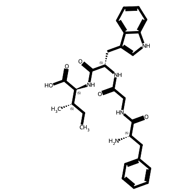 CC[C@H](C)[C@H](NC(=O)[C@H](Cc1c[nH]c2ccccc12)NC(=O)CNC(=O)[C@@H](N)Cc1ccccc1)C(=O)O